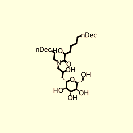 CCCCCCCCCCCCCCC(O)C(=O)N(CCCCCCCCCCCC)CC(O)C[C@@H]1O[C@H](CO)[C@@H](O)[C@H](O)[C@H]1O